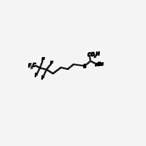 CCCCC(SCCCCC(F)(F)C(F)(F)C(F)(F)F)C(=O)O